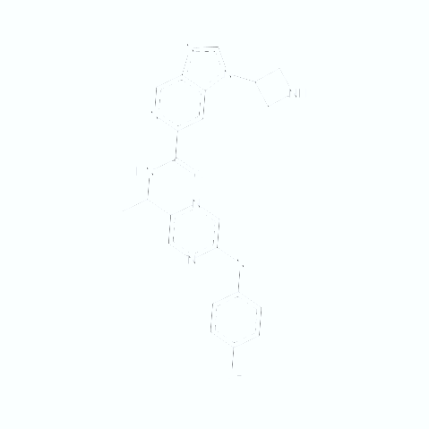 CC(NC(=O)c1cc2c(cn1)ncn2C1CNC1)c1cnc(Nc2ccc(C(F)(F)F)cc2)cn1